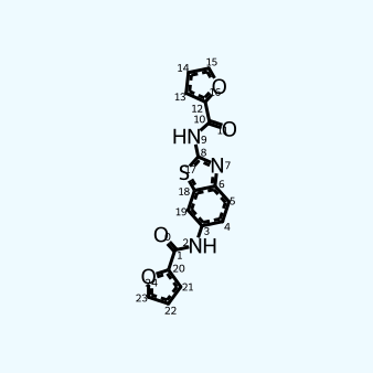 O=C(Nc1ccc2nc(NC(=O)c3ccco3)sc2c1)c1ccco1